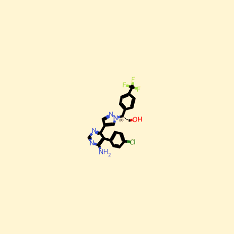 Nc1ncnc(-c2cnn([C@@H](CO)c3ccc(C(F)(F)F)cc3)c2)c1-c1ccc(Cl)cc1